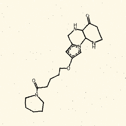 O=C1CCNC2C1NCc1cc(OCCCCC(=O)N3CCCCC3)cn12